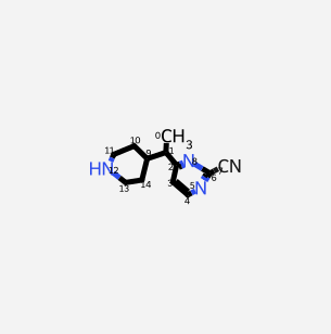 CC(c1ccnc(C#N)n1)C1CCNCC1